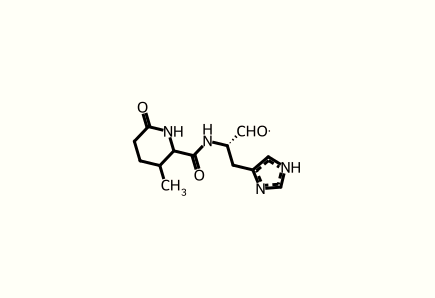 CC1CCC(=O)NC1C(=O)N[C@H]([C]=O)Cc1c[nH]cn1